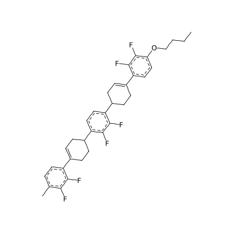 CCCCOc1ccc(C2=CCC(c3ccc(C4CC=C(c5ccc(C)c(F)c5F)CC4)c(F)c3F)CC2)c(F)c1F